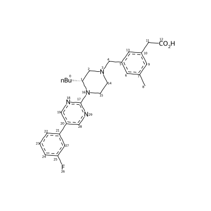 CCCC[C@@H]1CN(Cc2cc(C)cc(CC(=O)O)c2)CCN1c1ncc(-c2cccc(F)c2)cn1